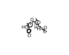 COC(=O)NCCC(=O)NC(C(=O)N1CCC(O)(c2ccc(Cl)cc2)C(C)(C)C1)C(C)C